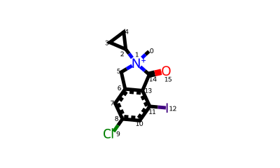 C[N+]1(C2CC2)Cc2cc(Cl)cc(I)c2C1=O